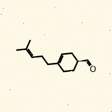 CC(C)=CCCC1=CC[C@@H](C=O)CC1